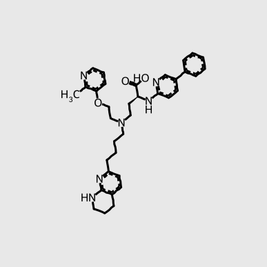 Cc1ncccc1OCCN(CCCCc1ccc2c(n1)NCCC2)CC[C@H](Nc1ccc(-c2ccccc2)cn1)C(=O)O